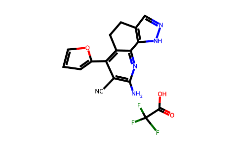 N#Cc1c(N)nc2c(c1-c1ccco1)CCc1cn[nH]c1-2.O=C(O)C(F)(F)F